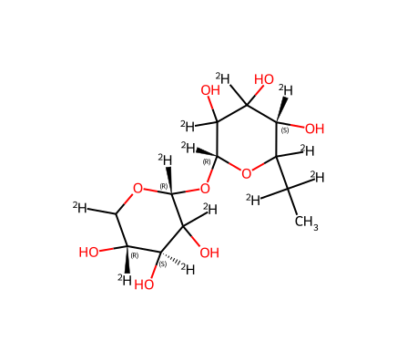 [2H]C1O[C@]([2H])(O[C@@]2([2H])OC([2H])(C([2H])([2H])C)[C@@]([2H])(O)C([2H])(O)C2([2H])O)C([2H])(O)[C@@]([2H])(O)[C@]1([2H])O